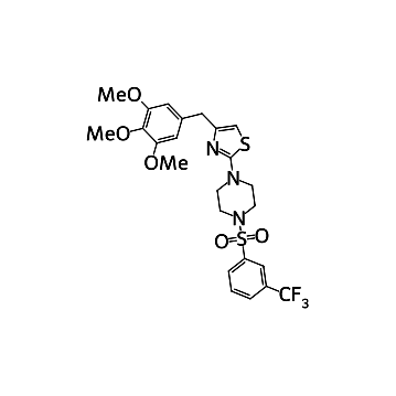 COc1cc(Cc2csc(N3CCN(S(=O)(=O)c4cccc(C(F)(F)F)c4)CC3)n2)cc(OC)c1OC